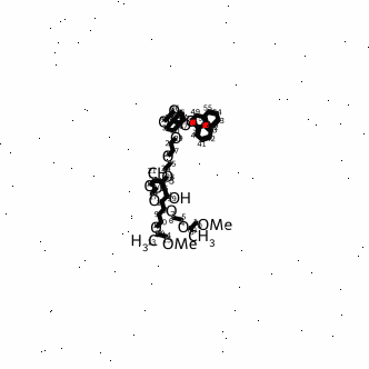 COC[C@@H](C)OCCOC(CCO[C@H](C)COC)C1OC2OC(C)C(OCCOCCOC3C4OC5OC3C(OCc3ccccc3)C(O5)C4OCc3ccccc3)C(O2)C1O